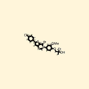 CCC(C)(O)COc1ccc(-n2cnc3cc(-c4ccc(Cl)cc4)sc3c2=O)cc1OC